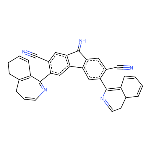 N#Cc1cc2c(cc1C1=NC=CCC3=C1C=CCC3)-c1cc(C3=C4C=CC=CC4CC=N3)c(C#N)cc1C2=N